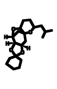 CC(C)CC1CCC2O[C@@H]3CC2(C[C@H]2OC4(CCCCC4)O[C@@H]32)O1